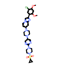 COc1cc(OC)c(-c2cn3ccc(N4CCN(c5cnc(N6CCN(S(=O)(=O)C7CC7)CC6)nc5)CC4)cc3n2)cc1Cl